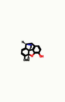 COC1=CC=C2[C@H]3Cc4ccc(O)c5c4[C@@]2(CCN3)[C@H]1O5